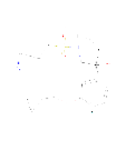 CCC(O)(CNS(=O)(=O)CCCN)c1ccc(F)c(OCC2CC2)c1